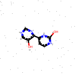 Oc1nccc(-c2n[c]ncc2O)n1